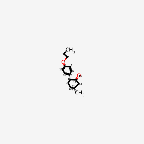 CCCOc1ccc([C@H]2CC[C@H](C)CC2=O)cc1